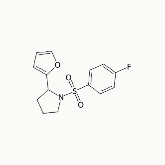 O=S(=O)(c1ccc(F)cc1)N1CCCC1c1ccco1